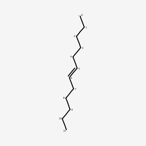 [CH2]CCCC/C=C/CCCCC